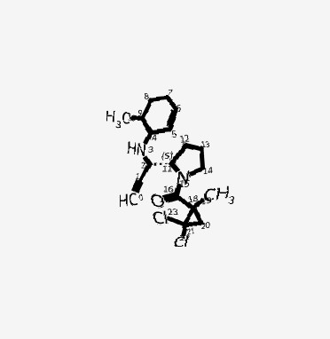 C#CC(NC1C=CCCC1C)[C@@H]1CCCN1C(=O)C1(C)CC1(Cl)Cl